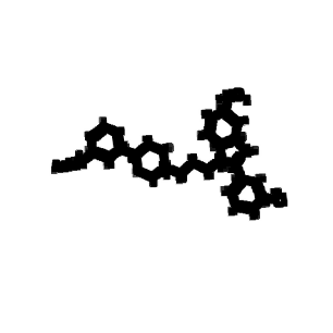 CC(=O)Nc1cccc(C2CCN(CCCn3c(-c4cccc(Cl)c4)nc4cc([N+](=O)[O-])ccc43)CC2)c1